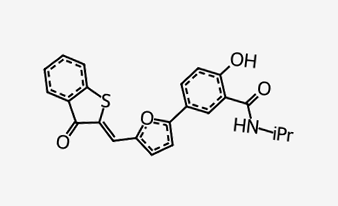 CC(C)NC(=O)c1cc(-c2ccc(/C=C3\Sc4ccccc4C3=O)o2)ccc1O